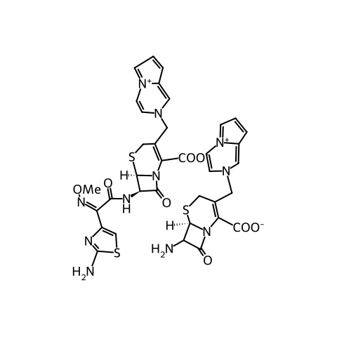 CO/N=C(\C(=O)N[C@@H]1C(=O)N2C(C(=O)[O-])=C(Cn3cc[n+]4cccc-4c3)CS[C@H]12)c1csc(N)n1.NC1C(=O)N2C(C(=O)[O-])=C(Cn3cc[n+]4cccc-4c3)CS[C@H]12